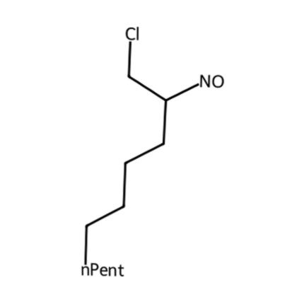 CCCCCCCCCC(CCl)N=O